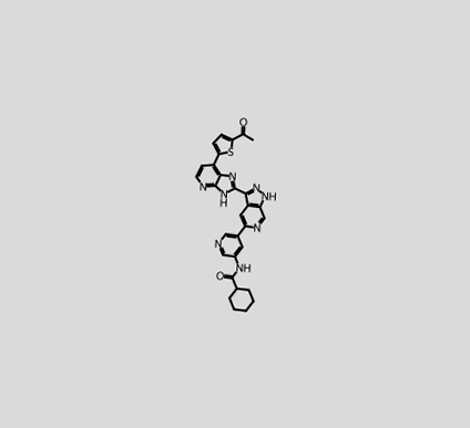 CC(=O)c1ccc(-c2ccnc3[nH]c(-c4n[nH]c5cnc(-c6cncc(NC(=O)C7CCCCC7)c6)cc45)nc23)s1